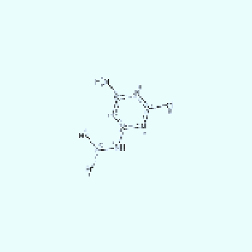 CC(C)[C@H](S)Nc1cc(N)nc(Cl)n1